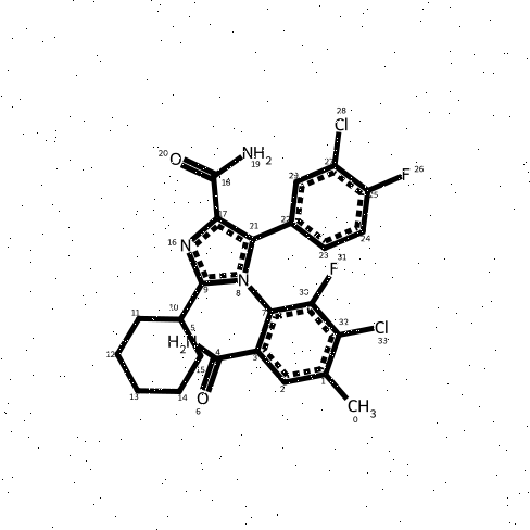 Cc1cc(C(N)=O)c(-n2c(C3CCCCC3)nc(C(N)=O)c2-c2ccc(F)c(Cl)c2)c(F)c1Cl